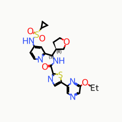 CCOc1cncc(-c2cnc(C(=O)N[C@H](c3cc(NS(=O)(=O)C4CC4)ccn3)[C@H]3CCOC3)s2)n1